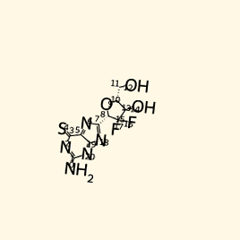 NC1=NC(=S)C2=NC([C@@H]3O[C@H](CO)[C@@H](O)C3(F)F)=NC2=N1